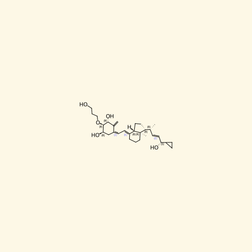 C=C1/C(=C\C=C2/CCC[C@]3(C)[C@@H]([C@H](C)/C=C/[C@@H](O)C4CC4)CC[C@@H]23)C[C@@H](O)[C@@H](OCCCO)[C@@H]1O